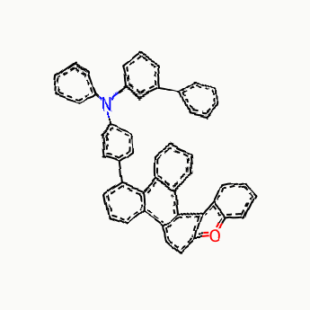 c1ccc(-c2cccc(N(c3ccccc3)c3ccc(-c4cccc5c6ccc7oc8ccccc8c7c6c6ccccc6c45)cc3)c2)cc1